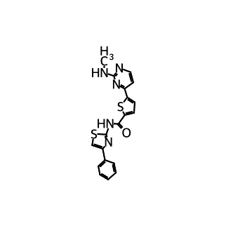 CNc1nccc(-c2ccc(C(=O)Nc3nc(-c4ccccc4)cs3)s2)n1